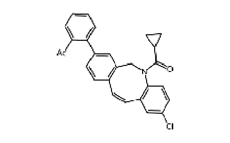 CC(=O)c1ccccc1-c1ccc2c(c1)CN(C(=O)C1CC1)c1ccc(Cl)cc1/C=C\2